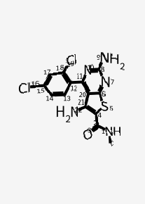 CNC(=O)c1sc2nc(N)nc(-c3ccc(Cl)cc3Cl)c2c1N